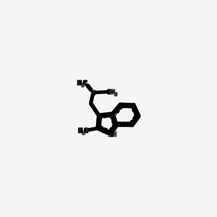 Cc1[nH]c2ccccc2c1CN(C)C